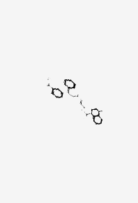 COC(=O)c1cc([C@@H]2C[C@H](CCCNC(C)c3ccc(F)c4ccccc34)Oc3ccccc32)ccc1C